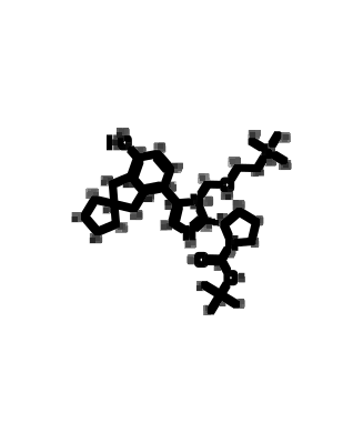 CC(C)(C)OC(=O)N1CCC[C@H]1c1ncc(-c2ccc(O)c3c2CC2(CCCC2)C3)n1COCC[Si](C)(C)C